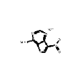 COc1ncnc2c(S(=O)[O-])csc12.[Na+]